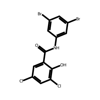 O=C(Nc1cc(Br)cc(Br)c1)c1cc(Cl)cc(Cl)c1O